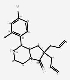 C=CCC1(CC=C)CC2C(c3ccc(F)cc3C)NCCN2C1=O